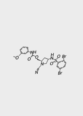 COc1cccc(NC(=O)OC[C@H]2CC(NS(=O)(=O)c3cc(Br)ccc3Br)CN2C#N)c1